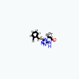 CCCc1cc(=O)[nH]c2nnc(SCc3ccccc3C)n12